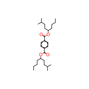 CCCCC(CCC(C)C)OC(=O)c1ccc(C(=O)OC(CCCC)CCC(C)C)cc1